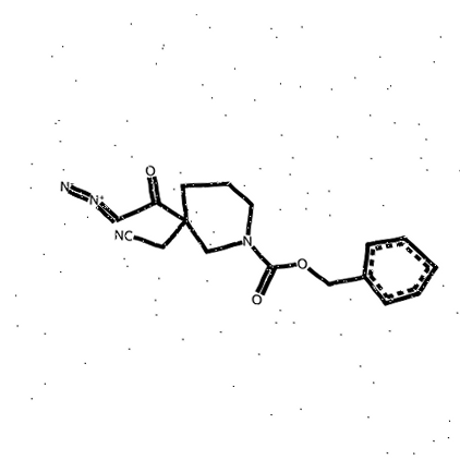 N#CCC1(C(=O)C=[N+]=[N-])CCCN(C(=O)OCc2ccccc2)C1